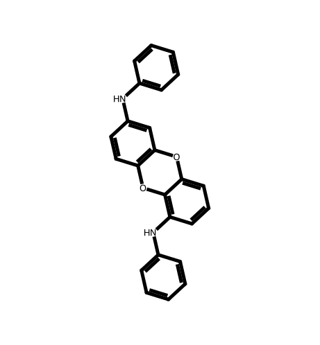 c1ccc(Nc2ccc3c(c2)Oc2cccc(Nc4ccccc4)c2O3)cc1